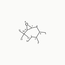 CCC(C)C(C)CC1OC1C(C)(C)C